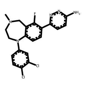 CN1CCN(c2ccc(Cl)c(Cl)c2)c2ccc(-c3ccc(N)nn3)c(F)c2C1